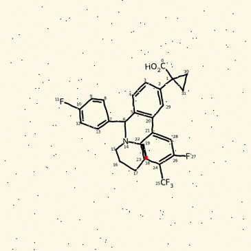 O=C(O)C1(c2ccc(C(c3ccc(F)cc3)N3CCCCC3)c(-c3ccc(C(F)(F)F)c(F)c3)c2)CC1